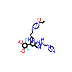 C=CC(=O)N1CCN(CCCc2cn3c(n2)c(-c2c(F)c(OC)cc(OC)c2F)cc2cnc(NCCN4CCN(C)CC4)nc23)CC1